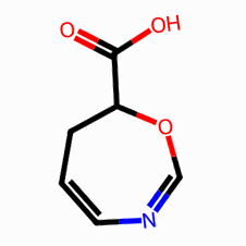 O=C(O)C1CC=CN=CO1